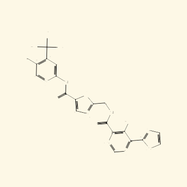 C[C@H](NC(=O)c1ncnc(-c2ncc[nH]2)c1Cl)c1ncc(C(=O)Nc2cc(C(F)(F)F)c(Cl)cn2)s1